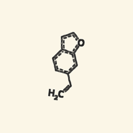 C=Cc1ccc2ccoc2c1